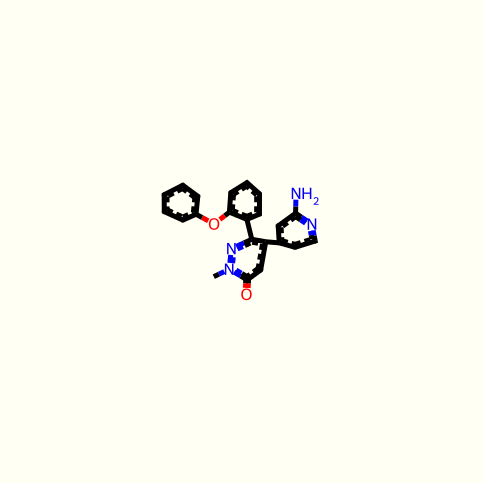 Cn1nc(-c2ccccc2Oc2ccccc2)c(-c2ccnc(N)c2)cc1=O